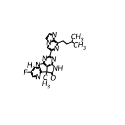 CC(C)CCc1nc(-c2nc(N)c3c(n2)NC(=O)C3(C)c2ccc(F)cn2)cn2ccnc12